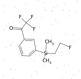 C[Si](C)(CCF)c1cccc(C(=O)C(F)(F)F)c1